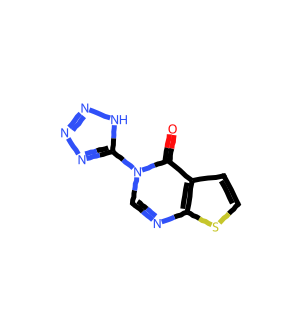 O=c1c2ccsc2ncn1-c1nnn[nH]1